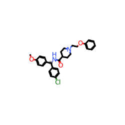 COc1ccc([C@H](NC(=O)C2CCN(CCOc3ccccc3)CC2)c2ccc(Cl)cc2)cc1